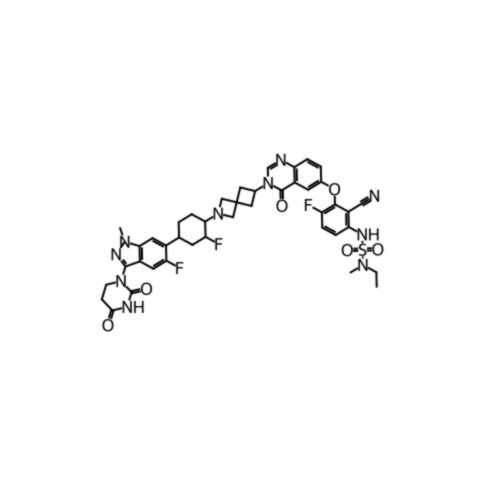 CCN(C)S(=O)(=O)Nc1ccc(F)c(Oc2ccc3ncn(C4CC5(C4)CN(C4CCC(c6cc7c(cc6F)c(N6CCC(=O)NC6=O)nn7C)CC4F)C5)c(=O)c3c2)c1C#N